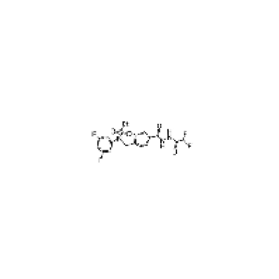 CCS(=O)(=O)N(Cc1ccc(C(=O)NNC(=O)C(F)F)cn1)c1cc(F)cc(F)c1